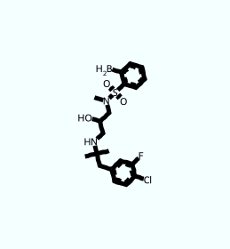 Bc1ccccc1S(=O)(=O)N(C)CC(O)CNC(C)(C)Cc1ccc(Cl)c(F)c1